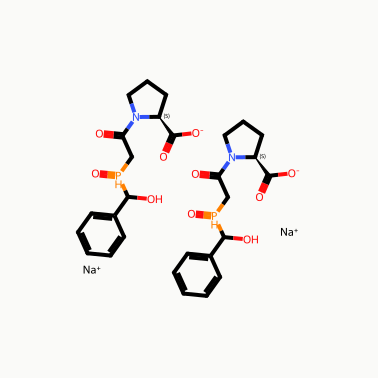 O=C([O-])[C@@H]1CCCN1C(=O)C[PH](=O)C(O)c1ccccc1.O=C([O-])[C@@H]1CCCN1C(=O)C[PH](=O)C(O)c1ccccc1.[Na+].[Na+]